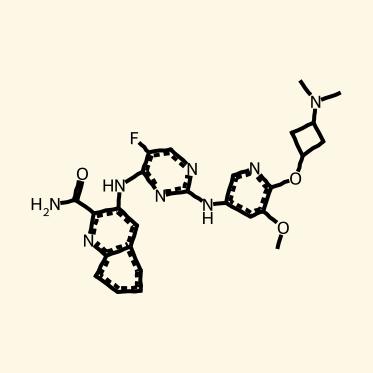 COc1cc(Nc2ncc(F)c(Nc3cc4ccccc4nc3C(N)=O)n2)cnc1OC1CC(N(C)C)C1